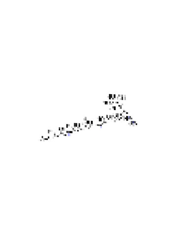 C/C=C/C=C/CC(OC1OC(C)C(O)C(O)C1O)C(C)C(CC(O)CC(O)CC(O)/C=C/CC(O)CC(O)CC(O)CC(O)/C=C/CC(O)CC(O)CCCN)NCC(C)C